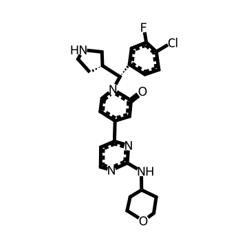 O=c1cc(-c2ccnc(NC3CCOCC3)n2)ccn1[C@@H](c1ccc(Cl)c(F)c1)[C@@H]1CCNC1